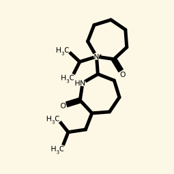 CC(C)CC1CCCC([N+]2(C(C)C)CCCCCC2=O)NC1=O